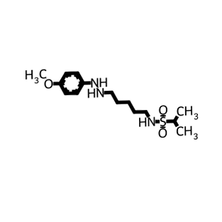 COc1ccc(NNCCCCCNS(=O)(=O)C(C)C)cc1